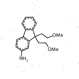 COCCC1(CCOC)c2ccccc2-c2ccc(N)cc21